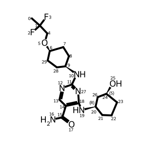 CC(F)(F)CO[C@H]1CC[C@@H](Nc2ncc(C(N)=O)c(N[C@@H]3CCC[C@H](O)C3)n2)CC1